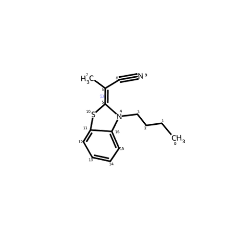 CCCCN1/C(=C(/C)C#N)Sc2ccccc21